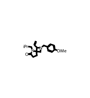 C=CC1N(Cc2ccc(OC)cc2)CC12CCC(=O)N2CC(C)C